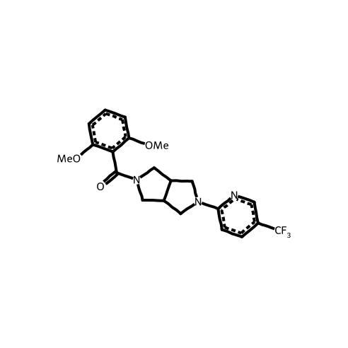 COc1cccc(OC)c1C(=O)N1CC2CN(c3ccc(C(F)(F)F)cn3)CC2C1